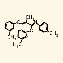 CC(=C\Oc1cccc(C)c1)/C(=N/c1ccc(C)cc1)Oc1cccc(C)c1